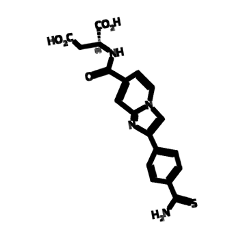 NC(=S)c1ccc(-c2cn3ccc(C(=O)N[C@H](CC(=O)O)C(=O)O)cc3n2)cc1